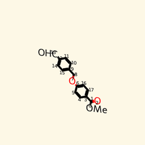 COC(=O)c1ccc(OCc2ccc(C=O)cc2)cc1